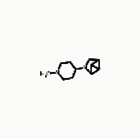 CN1CCC(N2CC3C4C3C42)CC1